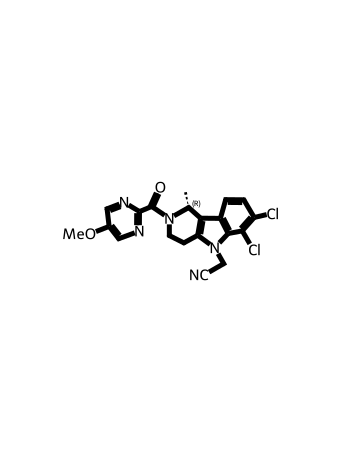 COc1cnc(C(=O)N2CCc3c(c4ccc(Cl)c(Cl)c4n3CC#N)[C@H]2C)nc1